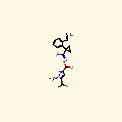 C=Cc1ccccc1C1(/C(N)=N/OC(=O)c2cc(C(F)F)n(C)n2)CC1